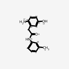 Cc1cccc(NC(=O)Cc2cc(O)ccc2N)c1